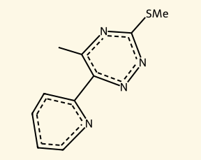 CSc1nnc(-c2ccccn2)c(C)n1